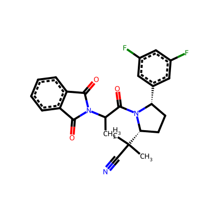 CC(C(=O)N1[C@H](c2cc(F)cc(F)c2)CC[C@@H]1C(C)(C)C#N)N1C(=O)c2ccccc2C1=O